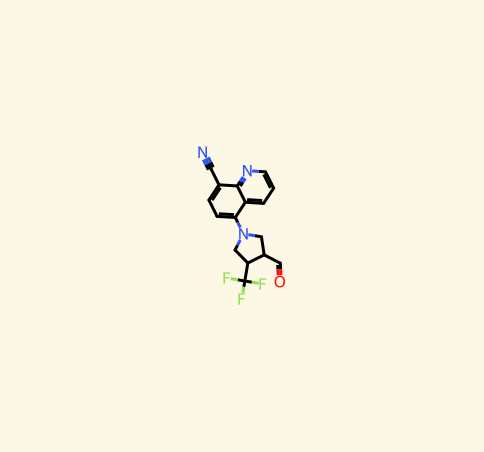 N#Cc1ccc(N2CC(C=O)C(C(F)(F)F)C2)c2cccnc12